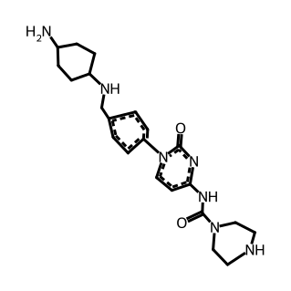 NC1CCC(NCc2ccc(-n3ccc(NC(=O)N4CCNCC4)nc3=O)cc2)CC1